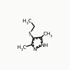 CCSc1c(C)n[nH]c1C